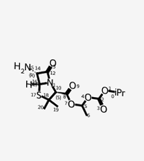 CC(C)OC(=O)OC(C)OC(=O)[C@@H]1N2C(=O)[C@@H](N)[C@H]2SC1(C)C